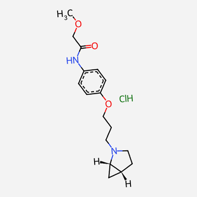 COCC(=O)Nc1ccc(OCCCN2CC[C@@H]3C[C@@H]32)cc1.Cl